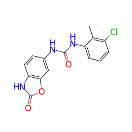 Cc1c(Cl)cccc1NC(=O)Nc1ccc2[nH]c(=O)oc2c1